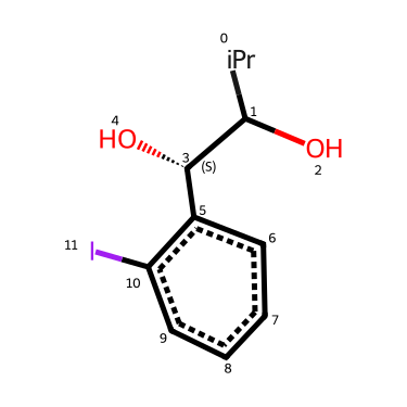 CC(C)C(O)[C@@H](O)c1ccccc1I